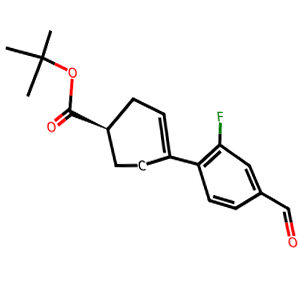 CC(C)(C)OC(=O)[C@H]1CC=C(c2ccc(C=O)cc2F)CC1